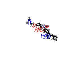 CN(C)CCOc1ccc2c(c1)CN(C(=O)c1cc3c(CC4CCCC4)n[nH]c3cc1O)C2